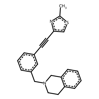 Cc1nc(C#Cc2cccc(CN3CCc4ccccc4C3)c2)cs1